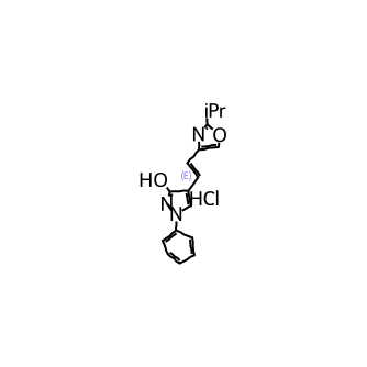 CC(C)c1nc(/C=C/c2cn(-c3ccccc3)nc2O)co1.Cl